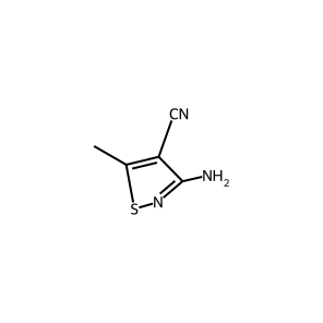 Cc1snc(N)c1C#N